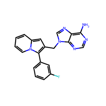 Nc1ncnc2c1ncn2Cc1cc2ccccn2c1-c1cccc(F)c1